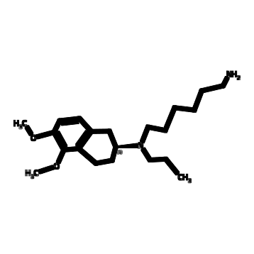 CCCN(CCCCCCN)[C@H]1CCc2c(ccc(OC)c2OC)C1